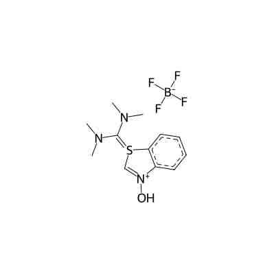 CN(C)C(N(C)C)=S1C=[N+](O)c2ccccc21.F[B-](F)(F)F